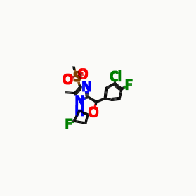 Cc1[nH]c(C(OC2CC(F)C2)c2ccc(F)c(Cl)c2)nc1S(C)(=O)=O